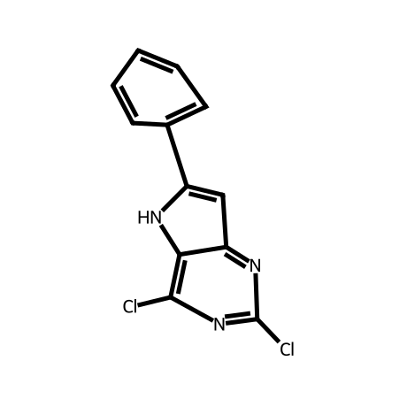 Clc1nc(Cl)c2[nH]c(-c3ccccc3)cc2n1